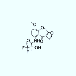 COc1ccc(NC(=O)C(C)(O)C(F)(F)F)c2c1OCc1occc1C2=O